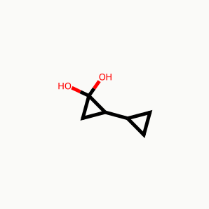 OC1(O)CC1C1CC1